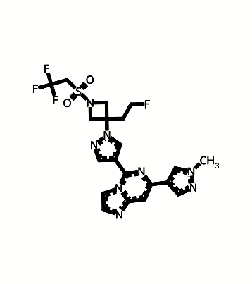 Cn1cc(-c2cc3nccn3c(-c3cnn(C4(CCF)CN(S(=O)(=O)CC(F)(F)F)C4)c3)n2)cn1